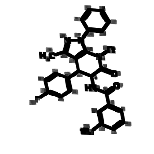 CCN1C(=O)C(NC(=O)c2cccc(C(C)(C)C)c2)C(c2ccc(F)cc2)c2c(C)nn(-c3ccccc3)c21